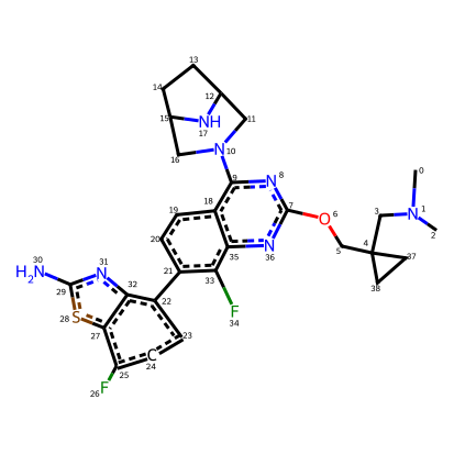 CN(C)CC1(COc2nc(N3CC4CCC(C3)N4)c3ccc(-c4ccc(F)c5sc(N)nc45)c(F)c3n2)CC1